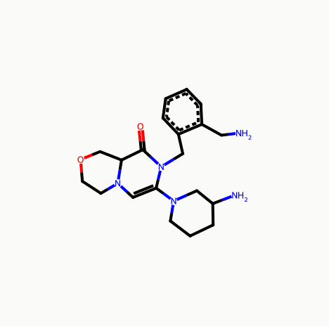 NCc1ccccc1CN1C(=O)C2COCCN2C=C1N1CCCC(N)C1